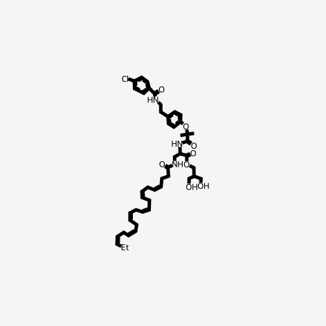 CC/C=C\C/C=C\C/C=C\C/C=C\C/C=C\C/C=C\CCC(=O)NCC(NC(=O)C(C)(C)Oc1ccc(CCNC(=O)c2ccc(Cl)cc2)cc1)C(=O)OCC(CO)CO